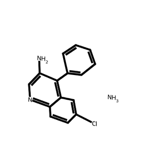 N.Nc1cnc2ccc(Cl)cc2c1-c1ccccc1